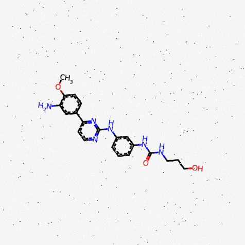 COc1ccc(-c2ccnc(Nc3cccc(NC(=O)NCCCO)c3)n2)cc1N